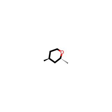 C[C@H]1CCO[C@H](C)C1